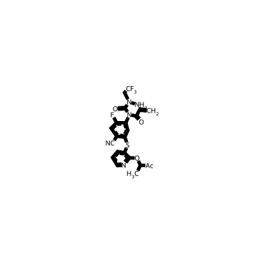 C=CC(=O)N(C(=O)N(N)CC(F)(F)F)c1cc(Sc2cccnc2OC(C)C(C)=O)c(C#N)cc1F